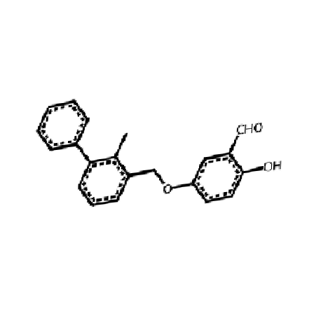 Cc1c(COc2ccc(O)c(C=O)c2)cccc1-c1ccccc1